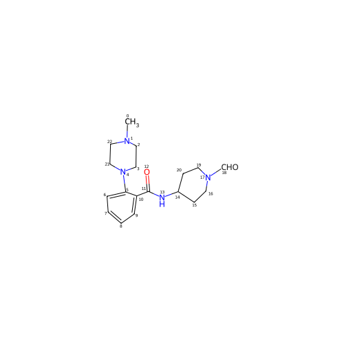 CN1CCN(c2ccccc2C(=O)NC2CCN(C=O)CC2)CC1